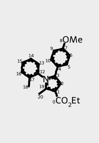 CCOC(=O)c1cc(-c2ccc(OC)cc2)n(-c2ccccc2C)c1C